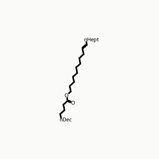 [CH2]CCCCCCC=CCCCCCCCCCOC(=O)CCCCCCCCCCCCC